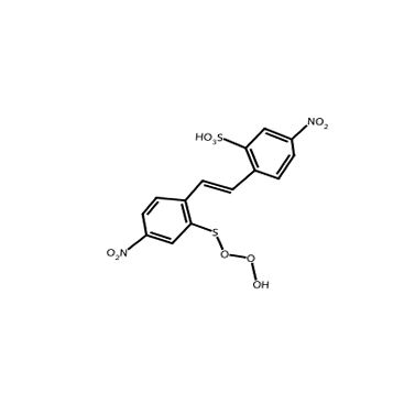 O=[N+]([O-])c1ccc(C=Cc2ccc([N+](=O)[O-])cc2S(=O)(=O)O)c(SOOO)c1